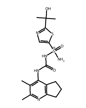 Cc1nc2c(c(NC(=O)N[SH](N)(=O)c3cnc(C(C)(C)O)s3)c1C)CCC2